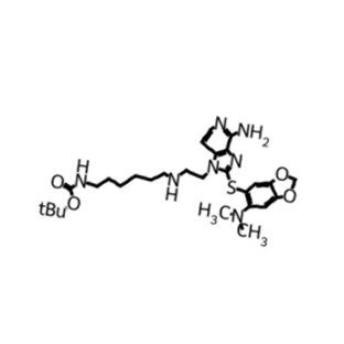 CN(C)c1cc2c(cc1Sc1nc3c(N)nccc3n1CCNCCCCCCNC(=O)OC(C)(C)C)OCO2